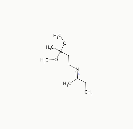 CC/C(C)=N/CC[Si](C)(OC)OC